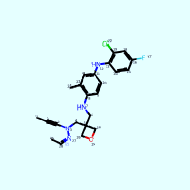 CC#CN(CC1(CNc2ccc(Nc3ccc(F)cc3Cl)cc2C)COC1)/N=C\C